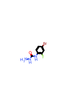 NNC(=O)Nc1ccc(Br)cc1F